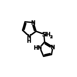 c1c[nH]c([SiH2]c2ncc[nH]2)n1